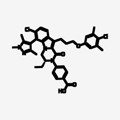 CC[C@@H]1Cn2c(c(CCCOc3cc(C)c(Cl)c(C)c3)c3ccc(Cl)c(-c4c(C)nn(C)c4C)c32)C(=O)N1c1ccc(C(=O)O)cc1